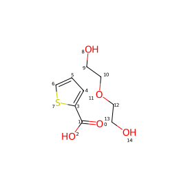 O=C(O)c1cccs1.OCCOCCO